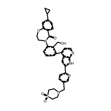 O=C1c2ccc(C3CC3)cc2OCCN1c1cccc(-c2ccnc3[nH]c(-c4ccc(CN5CCS(=O)(=O)CC5)cn4)cc23)c1CO